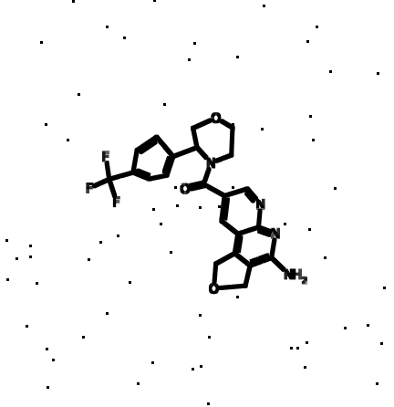 Nc1nc2ncc(C(=O)N3CCOCC3c3ccc(C(F)(F)F)cc3)cc2c2c1COC2